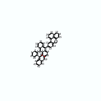 c1ccc(-c2c3ccccc3c(-c3ccc4c(c3)-c3cccc5cccc(c35)O4)c3ccccc23)c(-c2cccc3ccccc23)c1